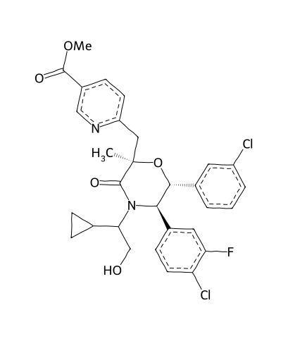 COC(=O)c1ccc(C[C@@]2(C)O[C@H](c3cccc(Cl)c3)[C@@H](c3ccc(Cl)c(F)c3)N(C(CO)C3CC3)C2=O)nc1